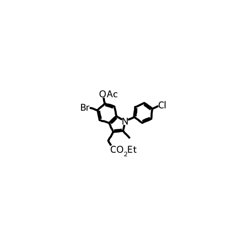 CCOC(=O)Cc1c(C)n(-c2ccc(Cl)cc2)c2cc(OC(C)=O)c(Br)cc12